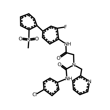 CS(=O)(=O)c1ccccc1-c1ccc(NC(=O)CN(Cc2ccccn2)C(=O)Nc2ccc(Cl)cc2)c(F)c1